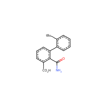 CC(C)(C)c1ccccc1-c1cccc(C(=O)O)c1C(N)=O